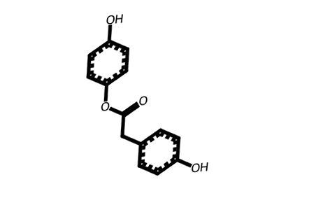 O=C(Cc1ccc(O)cc1)Oc1ccc(O)cc1